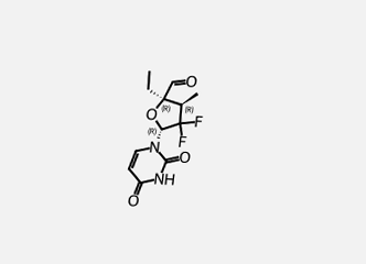 CC[C@@]1(C=O)O[C@@H](n2ccc(=O)[nH]c2=O)C(F)(F)[C@@H]1C